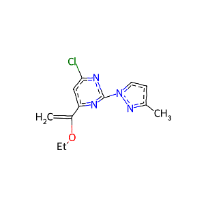 C=C(OCC)c1cc(Cl)nc(-n2ccc(C)n2)n1